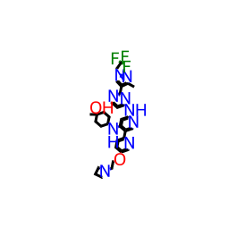 Cc1nn(CC(F)(F)F)cc1-c1nccc(Nc2cc(NC3CCC(C)(O)CC3)c(-c3ccc(OCCN4CCC4)cn3)cn2)n1